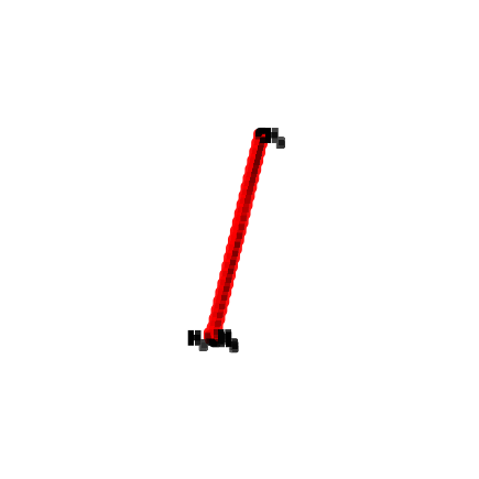 CCC(C)(C)C(=O)OCCOCCOCCOCCOCCOCCOCCOCCOCCOCCOCCOCCOCCOCCOCCOCCOCCOCCOCCOCCOCCOCCOCCOCCOCCOCCOCCOCCOCCOCCOCCOCCOCCOCCOCCOCCOCCOCCOCCOCCOCCOCCOCCOCCOCCOC